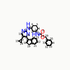 O=C(N[C@H]1CCC[C@@H](Nc2ncc(C3CC3)c(C3=CCc4ccccc43)n2)C1)OCc1ccccc1